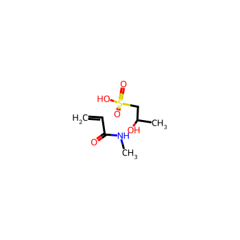 C=CC(=O)NC.CC(O)CS(=O)(=O)O